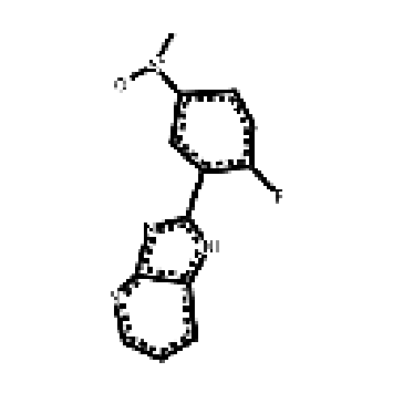 C[S+]([O-])c1ccc(F)c(-c2nc3ncccc3[nH]2)c1